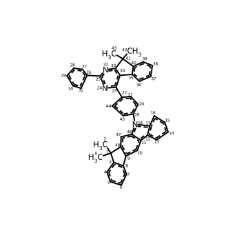 CC1(C)c2ccccc2-c2cc3c4ccccc4n(-c4ccc(-c5nc(-c6ccccc6)nc6c5-c5ccccc5C6(C)C)cc4)c3cc21